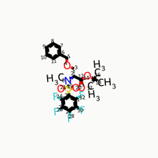 CN([C@H](COCc1ccccc1)C(=O)OC(C)(C)C)S(=O)(=O)c1c(F)c(F)c(F)c(F)c1F